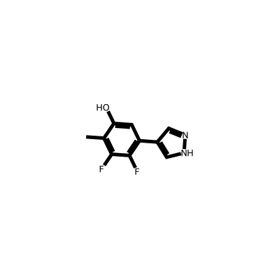 Cc1c(O)cc(-c2cn[nH]c2)c(F)c1F